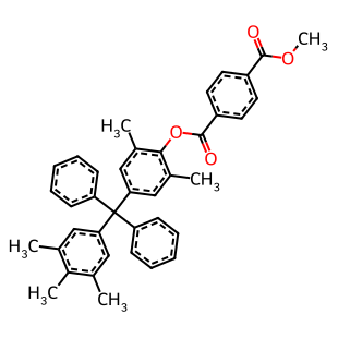 COC(=O)c1ccc(C(=O)Oc2c(C)cc(C(c3ccccc3)(c3ccccc3)c3cc(C)c(C)c(C)c3)cc2C)cc1